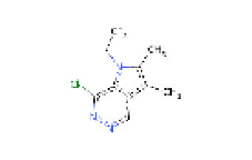 Cc1c(C)n(CC(F)(F)F)c2c(Cl)nncc12